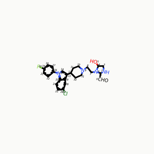 O=CC1NCC(O)N1CCN1CCC(c2cn(-c3ccc(F)cc3)c3ccc(Cl)cc23)CC1